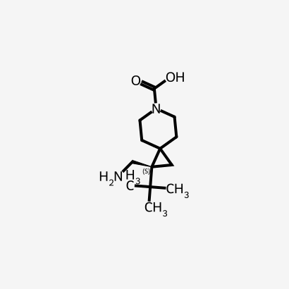 CC(C)(C)[C@@]1(CN)CC12CCN(C(=O)O)CC2